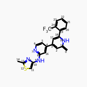 C=C1C=C(c2ccnc(Nc3csc(C)n3)c2)C=C(c2ccccc2C(F)(F)F)N1